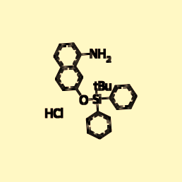 CC(C)(C)[Si](Oc1ccc2cccc(N)c2c1)(c1ccccc1)c1ccccc1.Cl